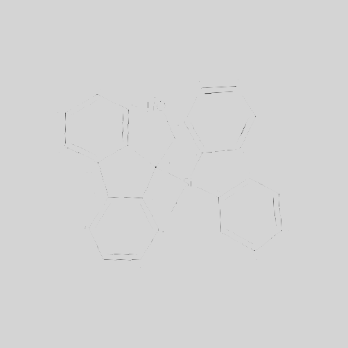 C[Si](c1ccccc1)(c1ccccc1)C1(CO)c2ccccc2-c2ccccc21